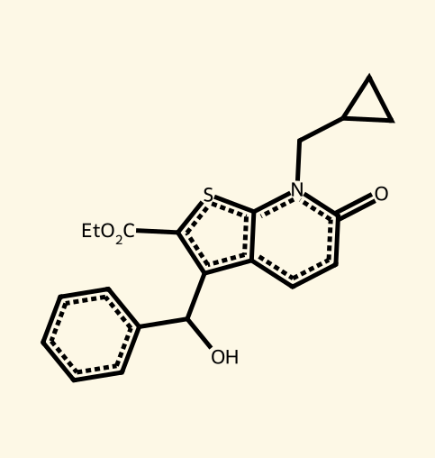 CCOC(=O)c1sc2c(ccc(=O)n2CC2CC2)c1C(O)c1ccccc1